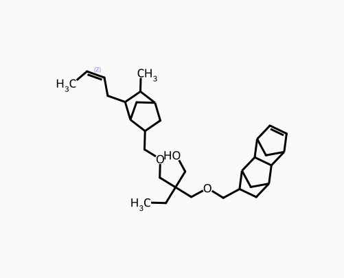 C/C=C\CC1C(C)C2CC(COCC(CC)(CO)COCC3CC4CC3C3C5C=CC(C5)C43)C1C2